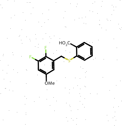 COc1cc(F)c(F)c(CSc2ccccc2C(=O)O)c1